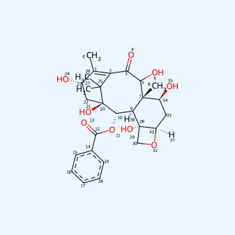 CC1=C2C(=O)C(O)[C@@]3(C)[C@H]([C@H](OC(=O)c4ccccc4)[C@](O)(C[C@@H]1O)C2(C)C)[C@]1(O)CO[C@@H]1C[C@@H]3O